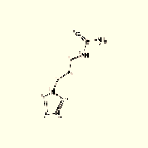 NC(=O)NCCCn1ccnc1